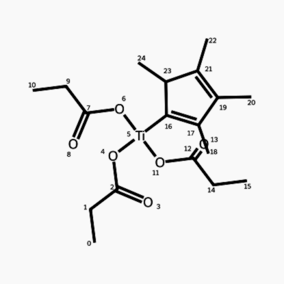 CCC(=O)[O][Ti]([O]C(=O)CC)([O]C(=O)CC)[C]1=C(C)C(C)=C(C)C1C